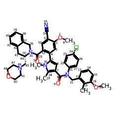 COc1cc(-c2cc(C(=O)N(Cc3cccc(OC)c3C)c3ccc(Cl)cc3)c(C)n2C)c(C(=O)N2Cc3ccccc3C[C@H]2CN2CCOCC2)cc1C#N